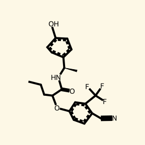 CCCC(Oc1ccc(C#N)c(C(F)(F)F)c1)C(=O)N[C@H](C)c1ccc(O)cc1